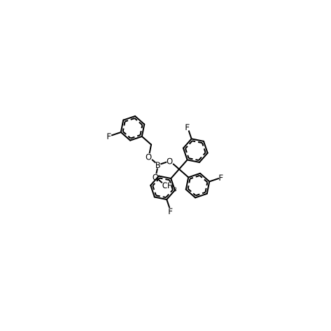 COB(OCc1cccc(F)c1)OC(c1cccc(F)c1)(c1cccc(F)c1)c1cccc(F)c1